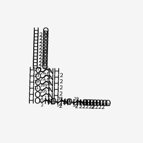 NCCO.NCCO.NCCO.NCCO.NCCO.NCCO.NCCO.NCCO.O.O.O.O.O.O.O.O.O.O.O.O.O.O.O.O.O.O.O.O